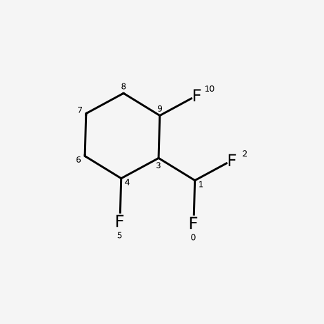 FC(F)C1C(F)CCCC1F